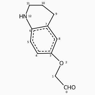 O=CCOc1ccc2c(c1)CCCN2